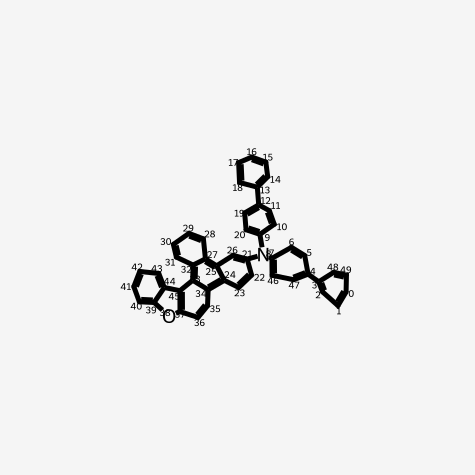 c1ccc(-c2ccc(N(c3ccc(-c4ccccc4)cc3)c3ccc4c(c3)c3ccccc3c3c4ccc4oc5ccccc5c43)cc2)cc1